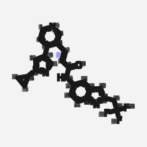 O=C(/C=C/c1cnccc1-c1cnn(C2CC2)c1)Nc1ccc2nn(CC(F)(F)F)cc2c1